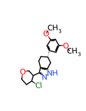 COc1cc(OC)cc([C@H]2CCc3c(C4COCCC4Cl)n[nH]c3C2)c1